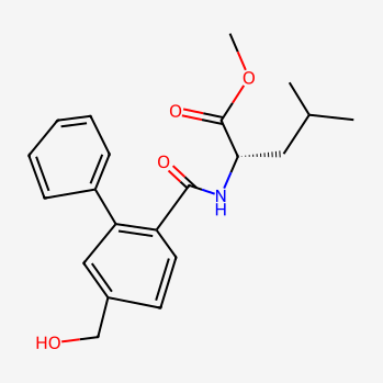 COC(=O)[C@H](CC(C)C)NC(=O)c1ccc(CO)cc1-c1ccccc1